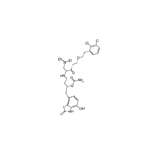 CCN(CC)CC(NCCC(Cc1ccc(O)c2[nH]c(=O)sc12)OC(N)=O)C(=O)CCOCCc1cccc(Cl)c1Cl